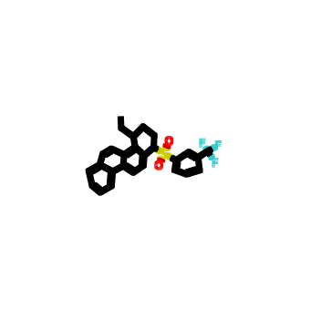 CCC1CCC(S(=O)(=O)c2cccc(C(F)(F)F)c2)c2ccc3c(ccc4ccccc43)c21